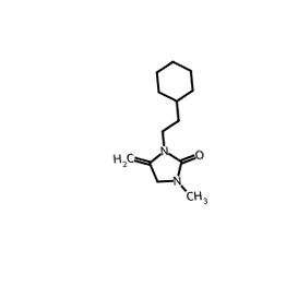 C=C1CN(C)C(=O)N1CCC1CCCCC1